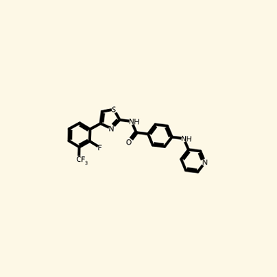 O=C(Nc1nc(-c2cccc(C(F)(F)F)c2F)cs1)c1ccc(Nc2cccnc2)cc1